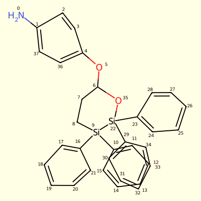 Nc1ccc(OC2CC[Si](c3ccccc3)(c3ccccc3)[Si](c3ccccc3)(c3ccccc3)O2)cc1